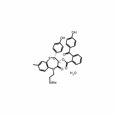 CNCCN1C(=O)[C@@H](OC(=O)c2ccccc2C(=O)c2ccc(O)cc2)[C@@H](c2ccc(O)cc2)Sc2cc(C)ccc21.O